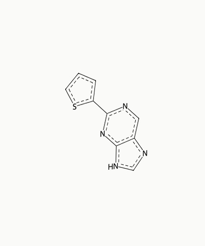 c1csc(-c2ncc3nc[nH]c3n2)c1